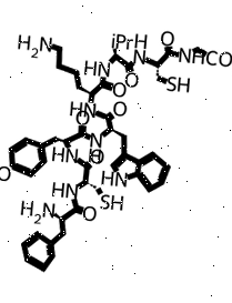 CC(C)[C@H](NC(=O)[C@H](CCCCN)NC(=O)[C@@H](Cc1c[nH]c2ccccc12)NC(=O)[C@H](Cc1ccc(O)cc1)NC(=O)[C@H](CS)NC(=O)[C@H](N)Cc1ccccc1)C(=O)N[C@@H](CS)C(=O)NCC(=O)O